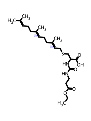 CCOC(=O)CCNC(=O)NC(CSC/C=C(\C)CC/C=C(\C)CCC=C(C)C)C(=O)O